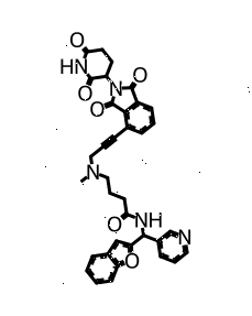 CN(CC#Cc1cccc2c1C(=O)N(C1CCC(=O)NC1=O)C2=O)CCCC(=O)NC(c1cccnc1)c1cc2ccccc2o1